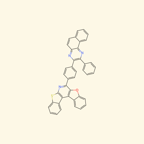 c1ccc(-c2nc3c(ccc4ccccc43)nc2-c2ccc(-c3nc4sc5ccccc5c4c4c3oc3ccccc34)cc2)cc1